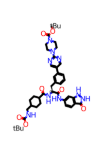 CC(C)(C)OC(=O)NCC1CCC(C(=O)N[C@@H](Cc2cccc(-c3cnc(N4CCN(C(=O)OC(C)(C)C)CC4)nc3)c2)C(=O)Nc2ccc3c(=O)[nH][nH]c3c2)CC1